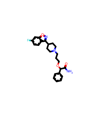 NC(=O)C(OCCCN1CCC(c2noc3cc(F)ccc23)CC1)c1ccccc1